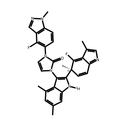 [2H]n1c([C@]2(C)C=CC3=NC=C(C)C3=C2F)c(-n2ccn(-c3ccc4c(cnn4C)c3F)c2=O)c2c(C)cc(C)cc21